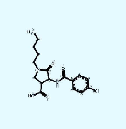 CCCCCN1CC(C(=O)O)C(NC(=O)c2ccc(Cl)cc2)C1=O